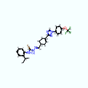 CC(C)c1ccccc1NC(=S)NN=CC1CC=C(c2ncn(-c3ccc(OC(F)(F)F)cc3)n2)CC1